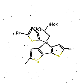 CCCCCCCCC(CCCCCC)C[Si]1(c2ccc(CCC)s2)c2cc(C)sc2-c2sc(C)cc21